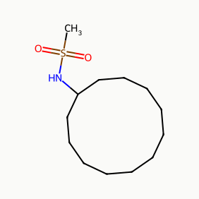 CS(=O)(=O)NC1CCCCCCCCCCC1